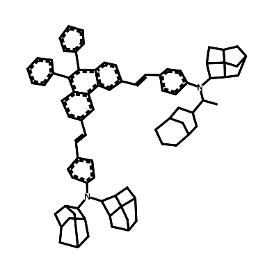 CC(C1CC2CCCC(C2)C1)N(c1ccc(/C=C/c2ccc3c(-c4ccccc4)c(-c4ccccc4)c4ccc(/C=C/c5ccc(N(C6C7CC8CC(C7)CC6C8)C6C7CC8CC9CC6C97C8)cc5)cc4c3c2)cc1)C1C2CC3CC4CC1C42C3